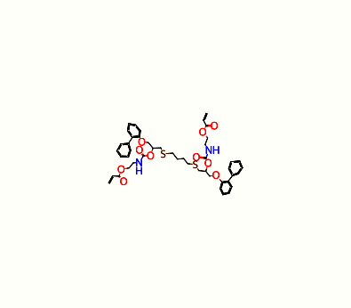 C=CC(=O)OCCNC(=O)OC(COc1ccccc1-c1ccccc1)CSCCCCSCC(COc1ccccc1-c1ccccc1)OC(=O)NCCOC(=O)C=C